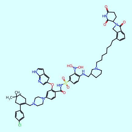 CC1(C)CCC(CN2CCN(c3ccc(C(=O)NS(=O)(=O)c4ccc(NCC5CCCN(CCCCCCCc6cccc7c6CN(C6CCC(=O)NC6=O)C7=O)C5)c(N(O)O)c4)c(Oc4cnc5[nH]ccc5c4)c3)CC2)=C(c2ccc(Cl)cc2)C1